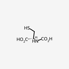 O=C(O)N[C@@H](CS)C(=O)O